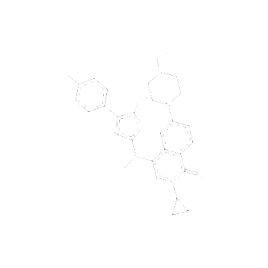 CN(c1nc(-c2ccc(F)cc2)c(C#N)s1)c1cn(C2CC2)c(=O)c2ccc(N3CCN(C=O)CC3)cc12